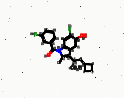 Cc1c([C@H](CC2CCC2)C(=O)O)c2cc(O)c(F)cc2n1C(=O)c1cccc(F)c1